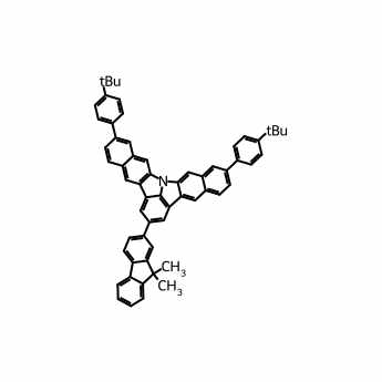 CC(C)(C)c1ccc(-c2ccc3cc4c5cc(-c6ccc7c(c6)C(C)(C)c6ccccc6-7)cc6c7cc8ccc(-c9ccc(C(C)(C)C)cc9)cc8cc7n(c4cc3c2)c56)cc1